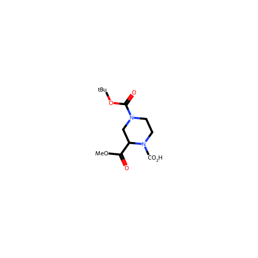 COC(=O)C1CN(C(=O)OC(C)(C)C)CCN1C(=O)O